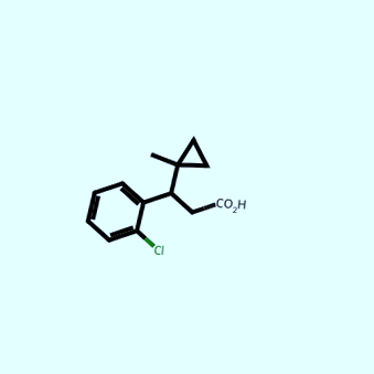 CC1(C(CC(=O)O)c2ccccc2Cl)CC1